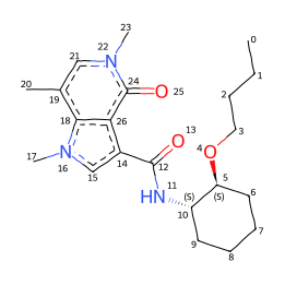 CCCCO[C@H]1CCCC[C@@H]1NC(=O)c1cn(C)c2c(C)cn(C)c(=O)c12